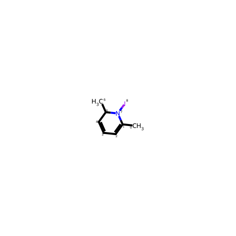 CC1=CC=CC(C)N1I